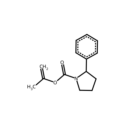 C=C(C)OC(=O)N1CCCC1c1ccccc1